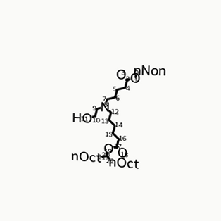 CCCCCCCCCOC(=O)CCCCN(CCO)CCCCCC(=O)OC(CCCCCCCC)CCCCCCCC